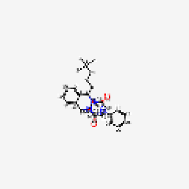 CC(C)(C)CCCC12c3ccccc3C(c3ccccc31)n1c(=O)n(-c3ccccc3)c(=O)n12